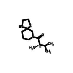 CC(C)[C@H](N)C(=O)N1CCCC2(C1)NCCS2